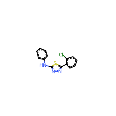 Clc1ccccc1-c1nnc(Nc2ccccc2)s1